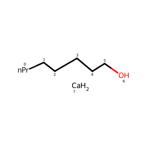 CCCCCCCCO.[CaH2]